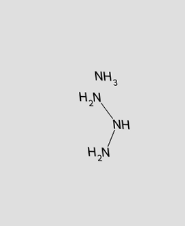 N.NNN